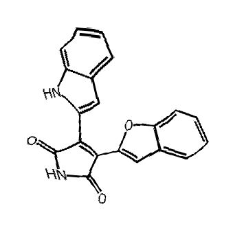 O=C1NC(=O)C(c2cc3ccccc3o2)=C1c1cc2ccccc2[nH]1